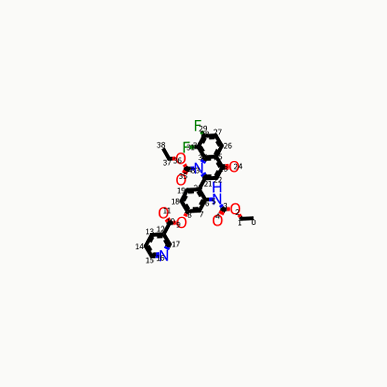 CCOC(=O)Nc1cc(OC(=O)c2cccnc2)ccc1-c1cc(=O)c2ccc(F)c(F)c2n1C(=O)OCC